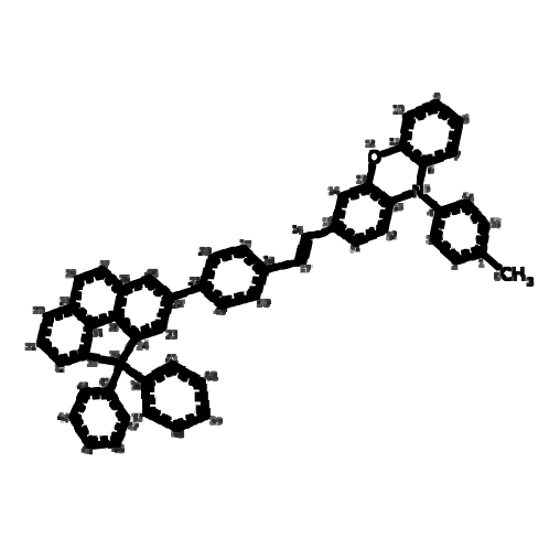 Cc1ccc(N2c3ccccc3Oc3cc(/C=C/c4ccc(-c5cc6c7c(ccc8cccc(c87)C6(c6ccccc6)c6ccccc6)c5)cc4)ccc32)cc1